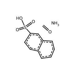 C=O.N.O=S(=O)(O)c1ccc2ccccc2c1